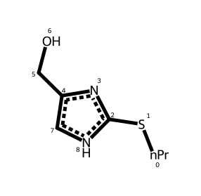 CCCSc1nc(CO)c[nH]1